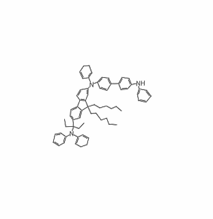 CCCCCCC1(CCCCCC)c2cc(N(C3=CCCC=C3)c3ccc(-c4ccc(Nc5ccccc5)cc4)cc3)ccc2-c2ccc(C(CC)(CC)N(C3=CCCC=C3)c3ccccc3)cc21